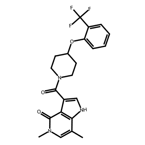 Cc1cn(C)c(=O)c2c(C(=O)N3CCC(Oc4ccccc4C(F)(F)F)CC3)c[nH]c12